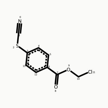 N#CSc1ccc(C(=O)OCCl)cc1